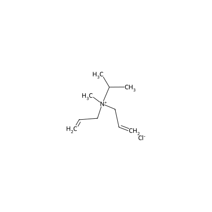 C=CC[N+](C)(CC=C)C(C)C.[Cl-]